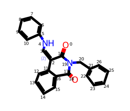 O=C1/C(=C\Nc2ccccc2)c2ccccc2C(=O)N1Cc1ccccc1